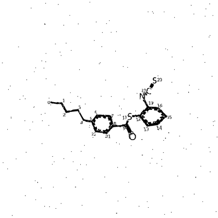 CCCCCc1ccc(C(=O)Sc2ccccc2N=C=S)cc1